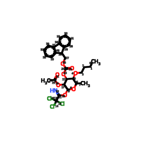 CCCCO[C@H]1C(C)O[C@@H](OC(=N)C(Cl)(Cl)Cl)C(OC(C)=O)[C@H]1OC(=O)OCC1c2ccccc2-c2ccccc21